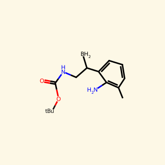 BC(CNC(=O)OC(C)(C)C)c1cccc(C)c1N